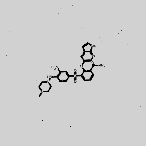 CN1CCN(Nc2ccc(S(=O)(=O)c3cccc(C(N)=O)c3Oc3cnc4[nH]ccc4c3)cc2[N+](=O)[O-])CC1